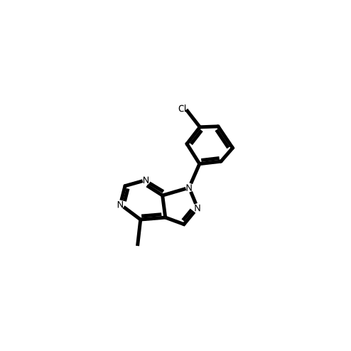 Cc1ncnc2c1cnn2-c1cccc(Cl)c1